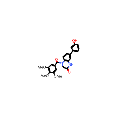 COc1cc(C(=O)N2CC(=O)Nc3cc(-c4cccc(O)c4)ccc32)cc(OC)c1OC